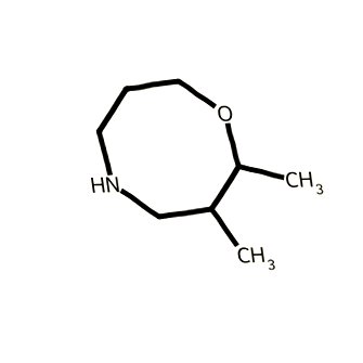 CC1CNCCCOC1C